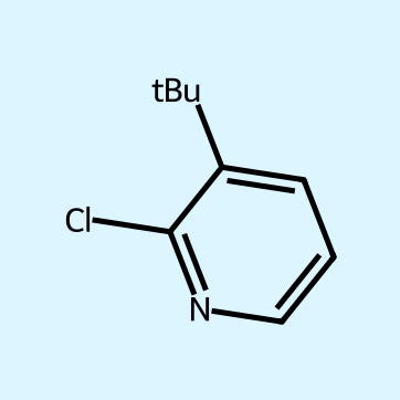 CC(C)(C)c1cccnc1Cl